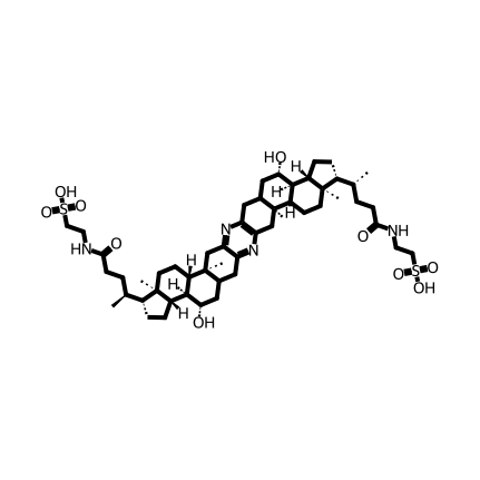 C[C@H](CCC(=O)NCCS(=O)(=O)O)[C@H]1CC[C@H]2[C@@H]3[C@@H](O)CC4Cc5nc6c(nc5C[C@]4(C)[C@H]3CC[C@]12C)CC1C[C@H](O)[C@H]2[C@@H]3CC[C@H]([C@@H](C)CCC(=O)NCCS(=O)(=O)O)[C@@]3(C)CC[C@@H]2[C@@]1(C)C6